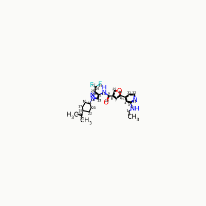 CCNc1cc(-c2cc(C(=O)Nc3cn([C@H]4CC[C@H](C(C)C)CC4)nc3C(F)F)co2)ccn1